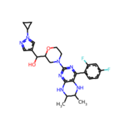 CC1Nc2nc(N3CCOC(C(O)c4cnn(C5CC5)c4)C3)nc(-c3ccc(F)cc3F)c2NC1C